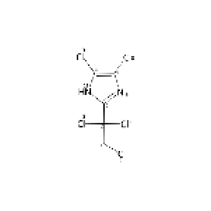 ClCC(Cl)(Cl)c1nc(Cl)c(Cl)[nH]1